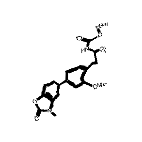 COc1cc(-c2ccc3oc(=O)n(C)c3c2)ccc1CC(C#N)NC(=O)OC(C)(C)C